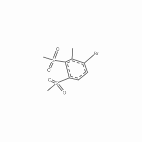 Cc1c(Br)ccc(S(C)(=O)=O)c1S(C)(=O)=O